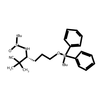 CC(C)(C#N)[C@@H](CCCO[Si](c1ccccc1)(c1ccccc1)C(C)(C)C)N[S+]([O-])C(C)(C)C